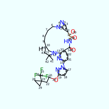 Cc1c2cnn1CCCC[C@H]1CN(c3nc(-n4ccc(OCCC5(C(F)(F)F)CC5)n4)ccc3C(=O)NS2(=O)=O)C(C)(C)C1